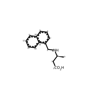 C[C@@H](CC(=O)O)NCc1cccc2ccccc12